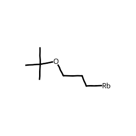 CC(C)(C)OCC[CH2][Rb]